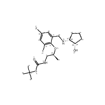 C[C@@H](CNC(=O)OC(C)(C)C)Oc1c(F)cc(F)cc1CN[C@@H]1CCC[C@@H]1O